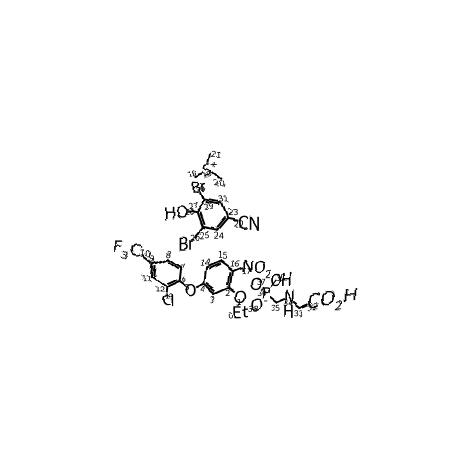 CCOc1cc(Oc2ccc(C(F)(F)F)cc2Cl)ccc1[N+](=O)[O-].C[S+](C)C.N#Cc1cc(Br)c(O)c(Br)c1.O=C(O)CNCP(=O)([O-])O